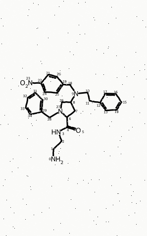 NCCNC(=O)C1CC(N(CCc2ccccc2)Cc2ccc([N+](=O)[O-])cc2)CN1Cc1ccccc1